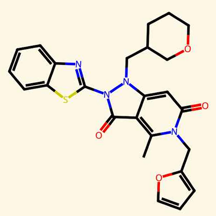 Cc1c2c(=O)n(-c3nc4ccccc4s3)n(CC3CCCOC3)c2cc(=O)n1Cc1ccco1